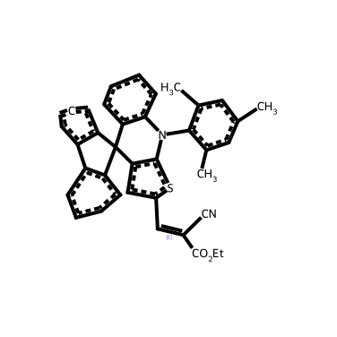 CCOC(=O)/C(C#N)=C/c1cc2c(s1)N(c1c(C)cc(C)cc1C)c1ccccc1C21c2ccccc2-c2ccccc21